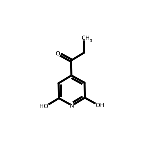 CCC(=O)c1cc(O)nc(O)c1